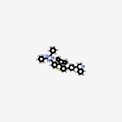 C1=CC(c2ccc3c(c2)C2(c4cc(C5=NC(c6ccccc6)NC(c6ccccc6)=N5)ccc4S3)c3ccccc3-c3ccccc32)CC=C1C1CC=Nc2ccccc21